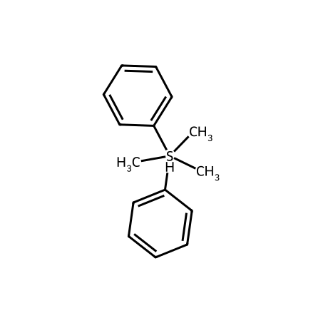 C[SH](C)(C)(c1ccccc1)c1ccccc1